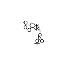 COC(=O)c1ccc2nn(CC3CN(C(=O)OC(C)(C)C)C3)cc2c1OC